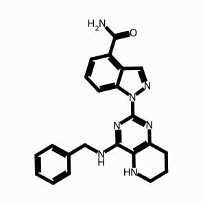 NC(=O)c1cccc2c1cnn2-c1nc2c(c(NCc3ccccc3)n1)NCCC2